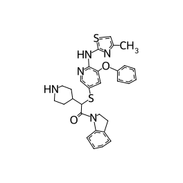 Cc1csc(Nc2ncc(SC(C(=O)N3CCc4ccccc43)C3CCNCC3)cc2Oc2ccccc2)n1